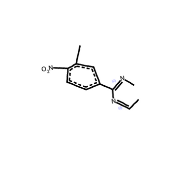 C/C=N\C(=N/C)c1ccc([N+](=O)[O-])c(C)c1